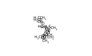 Cc1cc(C)n2cc(CN(C(=O)OC(C)(C)C)c3cc(NC[C@H]4CCN(C(=O)OC(C)(C)C)C[C@@H]4O)nc4c(C(C)C)cnn34)nc2n1